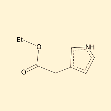 CCOC(=O)Cc1cc[nH]c1